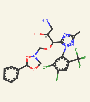 Cc1nc(C(OCN2COC(c3ccccc3)O2)[C@@H](O)CN)n(-c2cc(Cl)c(F)cc2C(F)(F)F)n1